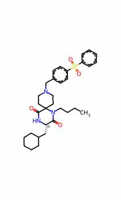 CCCCN1C(=O)[C@H](CC2CCCCC2)NC(=O)C12CCN(Cc1ccc(S(=O)(=O)c3ccccc3)cc1)CC2